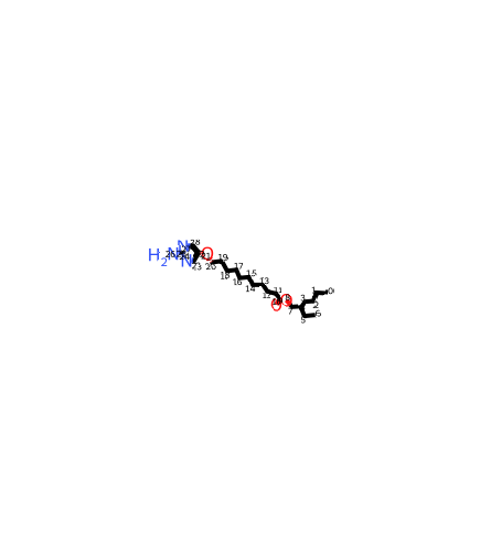 CCCCC(CC)COC(=O)CCCCCCCCCCOc1cnc(N)nc1